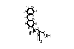 CC(C)N(CC(N)CO)c1ccc(Cc2ccccc2)cc1